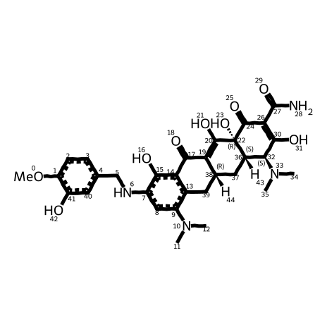 COc1ccc(CNc2cc(N(C)C)c3c(c2O)C(=O)C2=C(O)[C@@]4(O)C(=O)C(C(N)=O)=C(O)[C@@H](N(C)C)[C@@H]4C[C@@H]2C3)cc1O